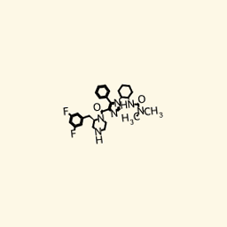 CN(C)C(=O)N[C@H]1CCCC[C@@H]1n1cnc(C(=O)N2CCNC[C@H]2Cc2cc(F)cc(F)c2)c1-c1ccccc1